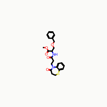 COC(=O)C(COCc1ccccc1)NC(=O)CCN1C(=O)CCSc2ccccc21